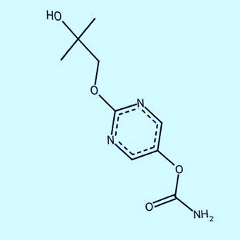 CC(C)(O)COc1ncc(OC(N)=O)cn1